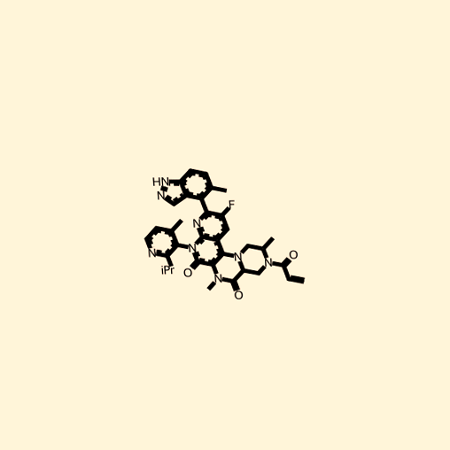 C=CC(=O)N1CC2C(=O)N(C)c3c(c4cc(F)c(-c5c(C)ccc6[nH]ncc56)nc4n(-c4c(C)ccnc4C(C)C)c3=O)N2CC1C